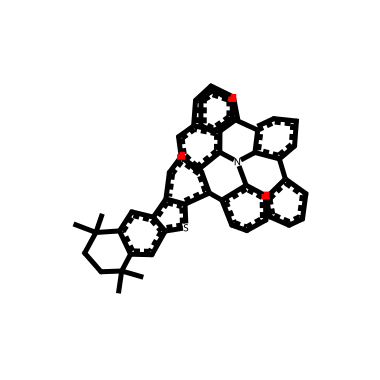 CC1(C)CCC(C)(C)c2cc3c(cc21)sc1c(-c2ccccc2N(c2c(-c4ccccc4)cccc2-c2ccccc2)c2cccc4ccccc24)cccc13